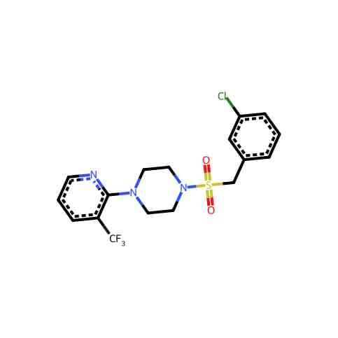 O=S(=O)(Cc1cccc(Cl)c1)N1CCN(c2ncccc2C(F)(F)F)CC1